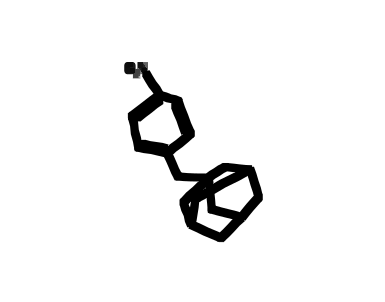 O=[N+]([O-])c1ccc(CC23CC4CC(CC(C4)C2)C3)cc1